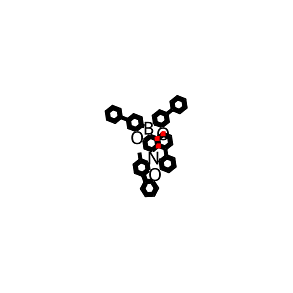 Cc1ccc2c(oc3ccccc32)c1N(c1cc2c3c(c1)Oc1cc(-c4ccccc4)ccc1B3c1ccc(-c3ccccc3)cc1O2)c1ccccc1-c1ccccc1